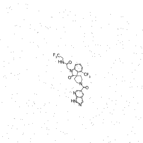 O=C(CN1C(=O)C2(CCN(C(=O)c3cnc4[nH]ncc4c3)CC2)c2c1cccc2C(F)(F)F)NCC(F)(F)F